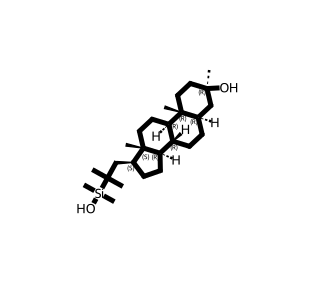 CC(C)(C[C@@H]1CC[C@@H]2[C@H]3CC[C@@H]4C[C@](C)(O)CC[C@@]4(C)[C@@H]3CC[C@@]12C)[Si](C)(C)O